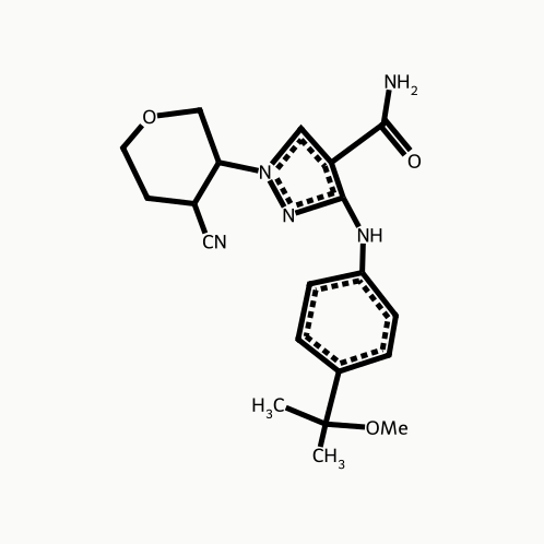 COC(C)(C)c1ccc(Nc2nn(C3COCCC3C#N)cc2C(N)=O)cc1